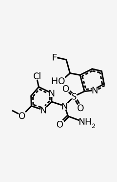 COc1cc(Cl)nc(N(C(N)=O)S(=O)(=O)c2ncccc2C(O)CF)n1